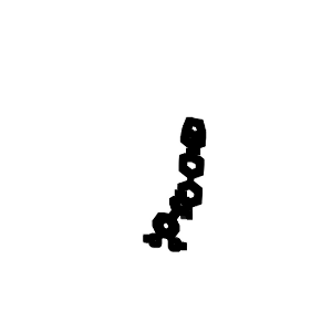 COc1ccc(-c2cn3c(n2)CC[C@H](C2CCN(C4CC5CCC(C4)N5)CC2)C3)cc1OC